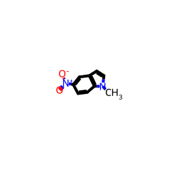 Cn1ccc2cc([N+](=O)[O-])ccc21